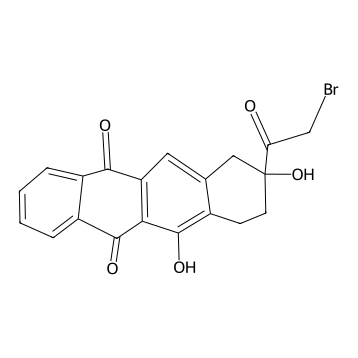 O=C1c2ccccc2C(=O)c2c1cc1c(c2O)CCC(O)(C(=O)CBr)C1